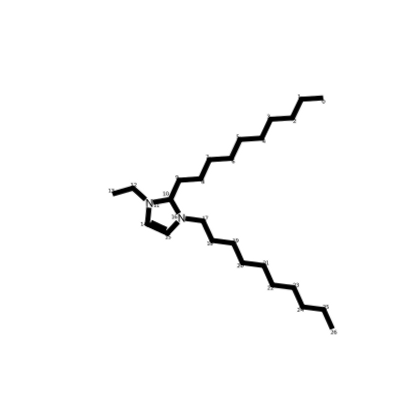 CCCCCCCCCCC1N(CC)C=CN1CCCCCCCCCC